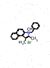 CC1=C(C)[N+](C)(Cc2ccccc2)c2ccc3ccccc3c21.[Br-]